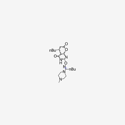 CCCC/C(=N\Oc1nc2oc(=O)cc(CCCC)c2c(=O)[nH]1)N1CCN(C)CC1